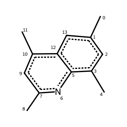 Cc1cc(C)c2nc(C)cc(C)c2c1